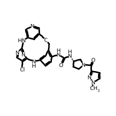 Cn1ccc(C(=O)N2CC[C@H](NC(=O)Nc3ccc4cc3CCc3cncc(c3)Nc3ncc(Cl)c(n3)N4)C2)n1